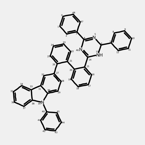 c1ccc(C2=NC(c3ccccc3)NC(c3ccccc3-c3ccccc3-c3ccc4c(c3)c3ccccc3n4-c3ccccc3)=N2)cc1